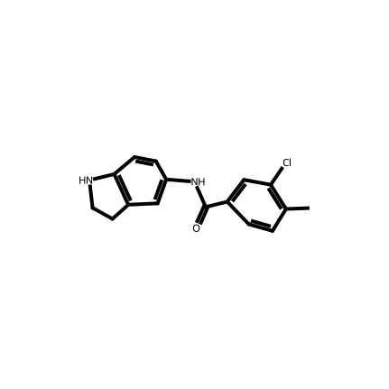 Cc1ccc(C(=O)Nc2ccc3c(c2)CCN3)cc1Cl